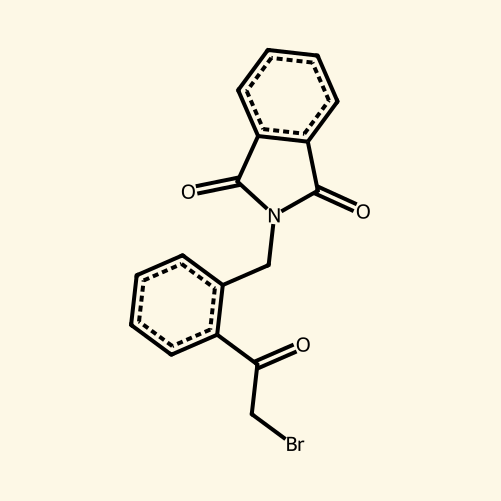 O=C(CBr)c1ccccc1CN1C(=O)c2ccccc2C1=O